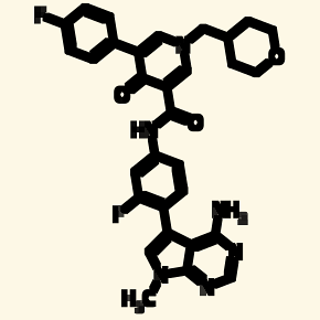 Cn1cc(-c2ccc(NC(=O)c3cn(CC4CCOCC4)cc(-c4ccc(F)cc4)c3=O)cc2F)c2c(N)ncnc21